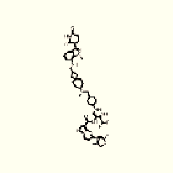 CN(CC1CCC(N/C=C(/NC(=O)c2cnn3ccc(N4C[C@H]5C[C@@H]4CO5)nc23)C(=N)C(F)F)CC1)C1CCC2(CC1)CC(CNc1cccc3c(C4CCC(=O)NC4=O)nn(C)c13)C2